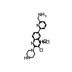 Cl.Cl.NCc1cccc(-c2ccc3nc(N4CCNCC4)c(Cl)cc3c2)n1